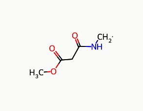 [CH2]NC(=O)CC(=O)OC